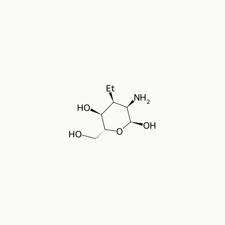 CC[C@H]1[C@@H](N)[C@@H](O)O[C@H](CO)[C@H]1O